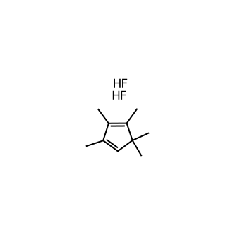 CC1=CC(C)(C)C(C)=C1C.F.F